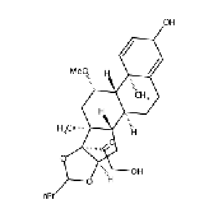 CCCC1O[C@@H]2C[C@H]3[C@@H]4CCC5=CC(O)C=C[C@]5(C)[C@H]4[C@@H](OC)C[C@]3(C)[C@]2(C(=O)CO)O1